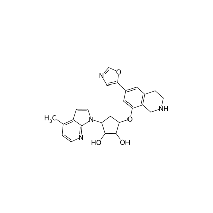 Cc1ccnc2c1ccn2C1CC(Oc2cc(-c3cnco3)cc3c2CNCC3)C(O)C1O